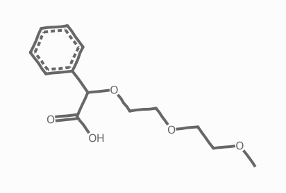 COCCOCCOC(C(=O)O)c1ccccc1